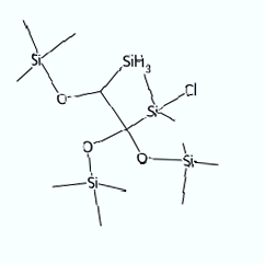 C[Si](C)(C)OC([SiH3])C(O[Si](C)(C)C)(O[Si](C)(C)C)[Si](C)(C)Cl